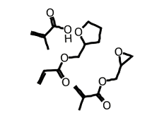 C=C(C)C(=O)O.C=C(C)C(=O)OCC1CO1.C=CC(=O)OCC1CCCO1